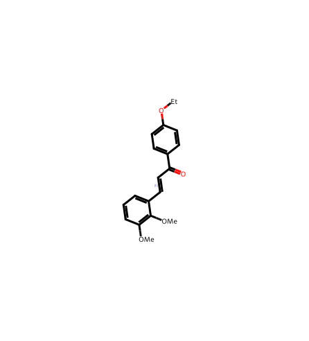 CCOc1ccc(C(=O)/C=C/c2cccc(OC)c2OC)cc1